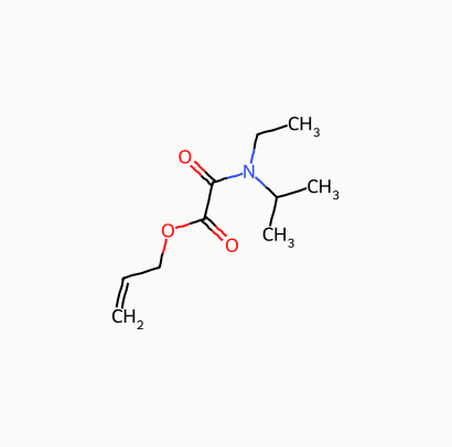 C=CCOC(=O)C(=O)N(CC)C(C)C